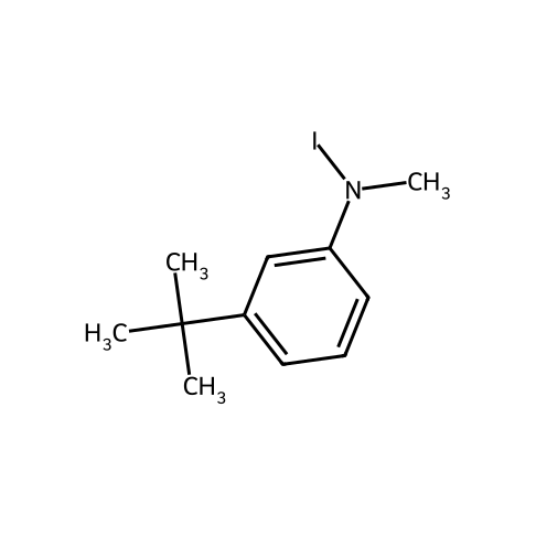 CN(I)c1cccc(C(C)(C)C)c1